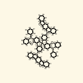 c1ccc(B2c3ccccc3Oc3c2ccc2c3-c3cc(-n4c5ccccc5c5cc6c(cc54)oc4ccccc46)ccc3C23c2ccc(-n4c5ccccc5c5cc6oc7ccccc7c6cc54)cc2-c2c3ccc3c2Oc2ccccc2B3c2ccccc2)cc1